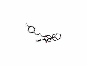 N#Cc1ccc(N2C3CCC2CN(C(=O)CCSCc2ccc(F)cc2)C3)nc1